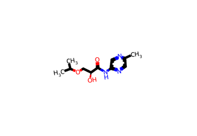 Cc1cnc(NC(=O)[C@@H](O)COC(C)C)cn1